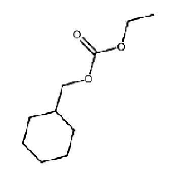 C[CH]OC(=O)OCC1CCCCC1